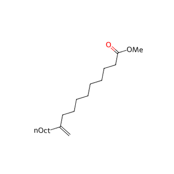 C=C(CCCCCCCC)CCCCCCCCC(=O)OC